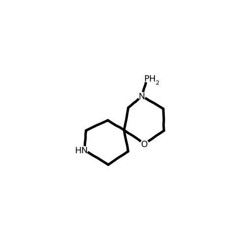 PN1CCOC2(CCNCC2)C1